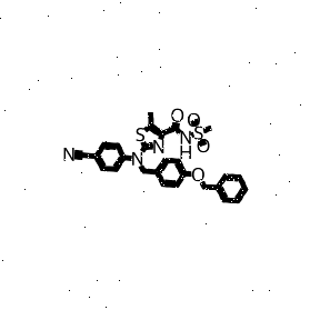 Cc1sc(N(Cc2ccc(OCc3ccccc3)cc2)c2ccc(C#N)cc2)nc1C(=O)NS(C)(=O)=O